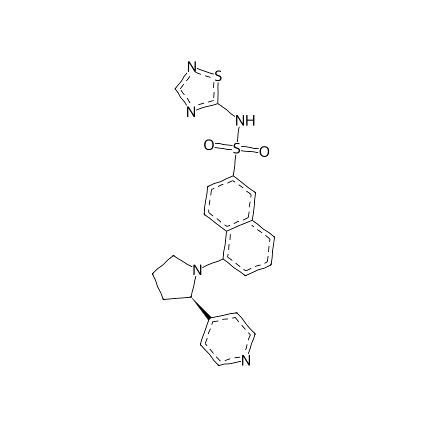 O=S(=O)(Nc1ncns1)c1ccc2c(N3CCC[C@@H]3c3ccncc3)cccc2c1